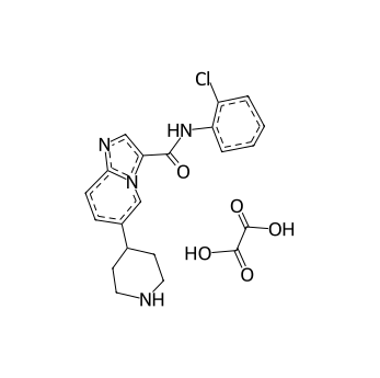 O=C(Nc1ccccc1Cl)c1cnc2ccc(C3CCNCC3)cn12.O=C(O)C(=O)O